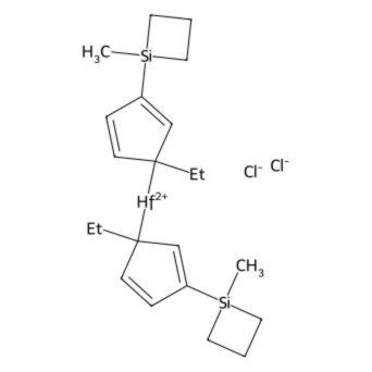 CC[C]1([Hf+2][C]2(CC)C=CC([Si]3(C)CCC3)=C2)C=CC([Si]2(C)CCC2)=C1.[Cl-].[Cl-]